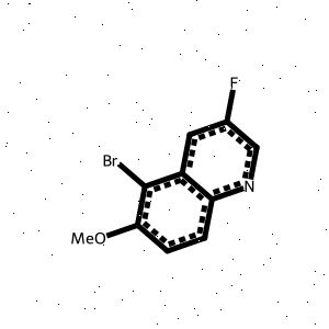 COc1ccc2ncc(F)cc2c1Br